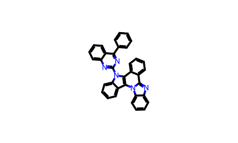 c1ccc(-c2nc(-n3c4ccccc4c4c3c3ccccc3c3nc5ccccc5n34)nc3ccccc23)cc1